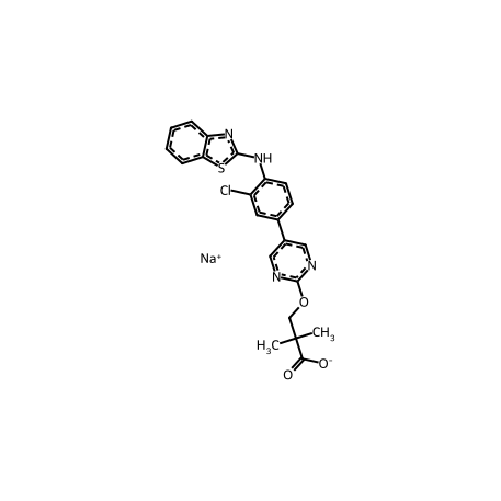 CC(C)(COc1ncc(-c2ccc(Nc3nc4ccccc4s3)c(Cl)c2)cn1)C(=O)[O-].[Na+]